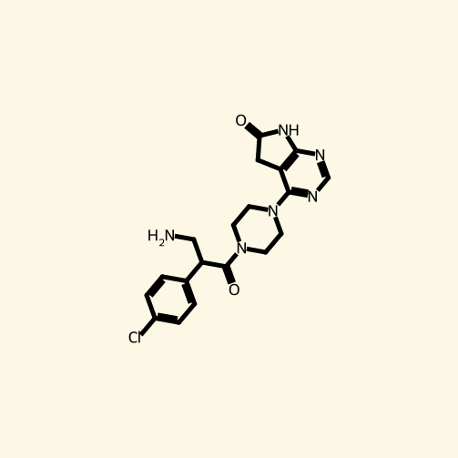 NCC(C(=O)N1CCN(c2ncnc3c2CC(=O)N3)CC1)c1ccc(Cl)cc1